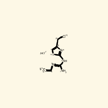 Cl.NC(=NCC(F)(F)F)Nc1nc(CCl)cs1